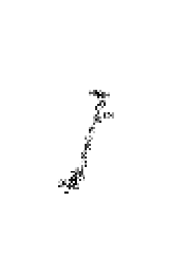 O=C1CCC(N2C(=O)c3cccc(NCCOCCOCCOCCOCCOCCCn4cc(-c5ccc6c(c5)CCC6CNO)c(-c5ccncc5)n4)c3C2=O)C(=O)N1